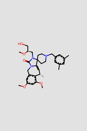 COc1cc2c(c(OC)c1)[C@@H](C)C=C1N(C2)C(=O)N(C[C@H](CO)OC)C12CCN(Cc1cc(C)cc(C)c1)CC2